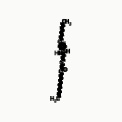 CCCCCCCCCCCCOC(=O)CCSCCCC(=N)Nc1ccc(OCCCCCCCCC)cc1